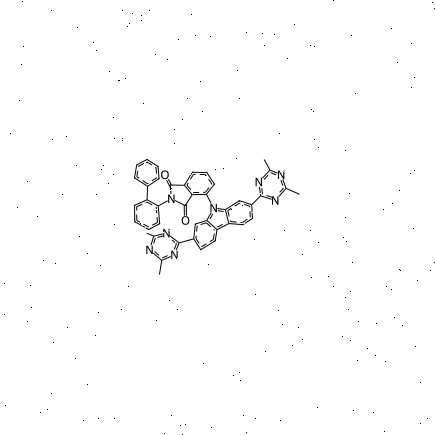 Cc1nc(C)nc(-c2ccc3c4ccc(-c5nc(C)nc(C)n5)cc4n(-c4cccc5c4C(=O)N(c4ccccc4-c4ccccc4)C5=O)c3c2)n1